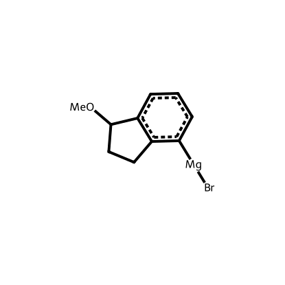 COC1CCc2[c]([Mg][Br])cccc21